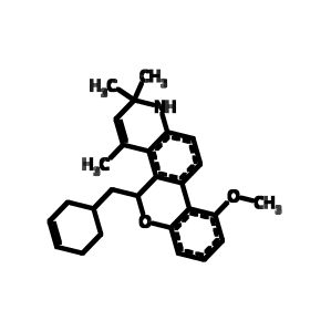 COc1cccc2c1-c1ccc3c(c1C(CC1CC=CCC1)O2)C(C)=CC(C)(C)N3